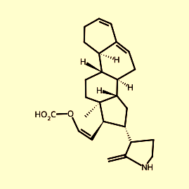 C=C1NCCC1[C@H]1C[C@H]2[C@@H]3CC=C4C=CCC[C@@H]4[C@H]3CC[C@]2(C)[C@@H]1/C=C\OC(=O)O